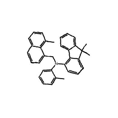 Cc1ccccc1N(Cc1cccc2cccc(C)c12)c1cccc2c1-c1ccccc1C2(C)C